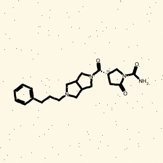 NC(=O)N1C[C@@H](C(=O)N2CC3CN(CC[CH]c4ccccc4)CC3C2)CC1=O